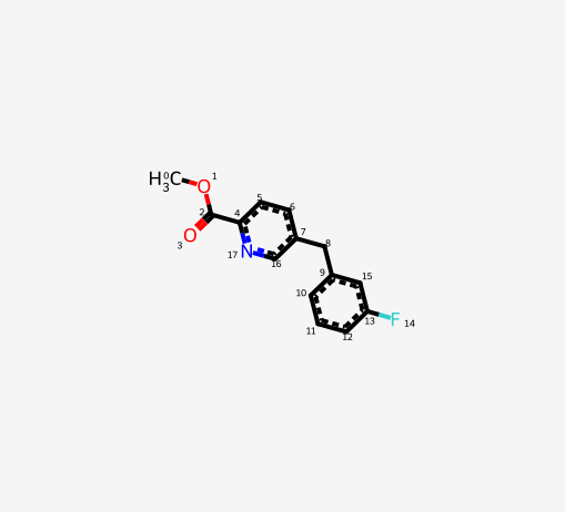 COC(=O)c1ccc(Cc2cccc(F)c2)cn1